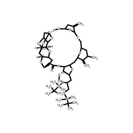 C=C1CC2CC[C@@]34CC5O[C@H]6C(O3)[C@H]3OC(CCC3O[C@H]6C5O4)CC(=O)CC3C(CC4OC(CCC1O2)CC(C)C4=C)OC(CC(CO[Si](C)(C)C(C)(C)C)O[Si](C)(C)C(C)(C)C)[C@@H]3OC